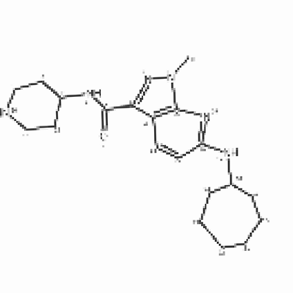 Cn1nc(C(=O)NC2CCNCC2)c2ccc(NC3CCCCCC3)nc21